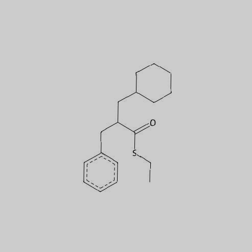 CCSC(=O)C(Cc1ccccc1)CC1CCCCC1